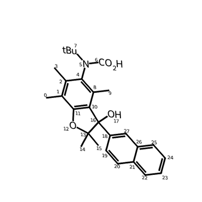 Cc1c(C)c(N(C(=O)O)C(C)(C)C)c(C)c2c1OC(C)(C)C2(O)c1ccc2ccccc2c1